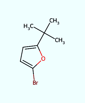 CC(C)(C)c1ccc(Br)o1